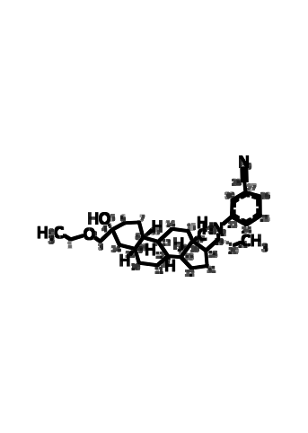 CCOC[C@@]1(O)CC[C@H]2[C@H](CC[C@@H]3[C@@H]2CC[C@]2(C)C([C@@H](CC)Nc4cccc(C#N)c4)CC[C@@H]32)C1